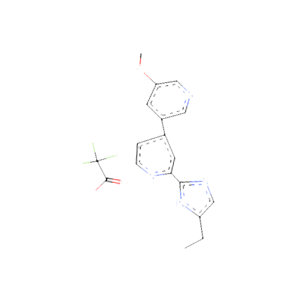 CCc1cnc(-c2cc(-c3cncc(OC)c3)ccn2)[nH]1.O=C(O)C(F)(F)F